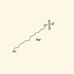 CC(=O)CCCCCCCCCCCCOS(=O)(=O)[O-].[Na+]